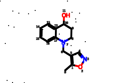 Cc1oncc1CN1CCC(O)c2ccccc21